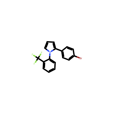 FC(F)(F)c1ccccc1-n1cccc1-c1ccc(Br)cc1